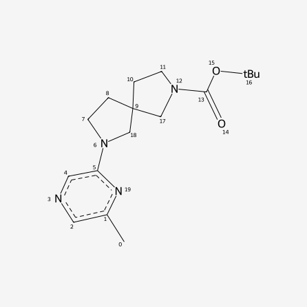 Cc1cncc(N2CCC3(CCN(C(=O)OC(C)(C)C)C3)C2)n1